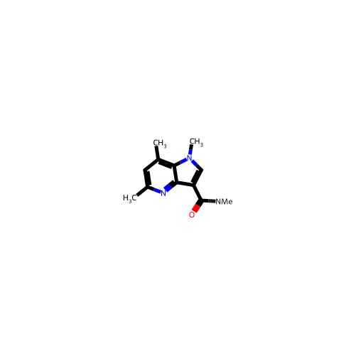 CNC(=O)c1cn(C)c2c(C)cc(C)nc12